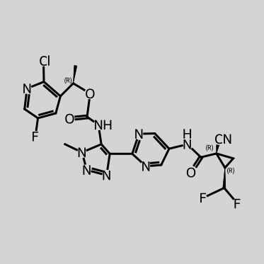 C[C@@H](OC(=O)Nc1c(-c2ncc(NC(=O)[C@]3(C#N)C[C@H]3C(F)F)cn2)nnn1C)c1cc(F)cnc1Cl